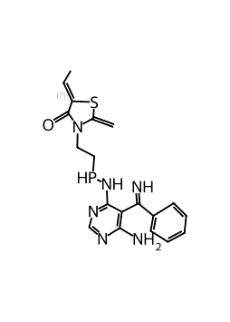 C=c1s/c(=C\C)c(=O)n1CCPNc1ncnc(N)c1C(=N)c1ccccc1